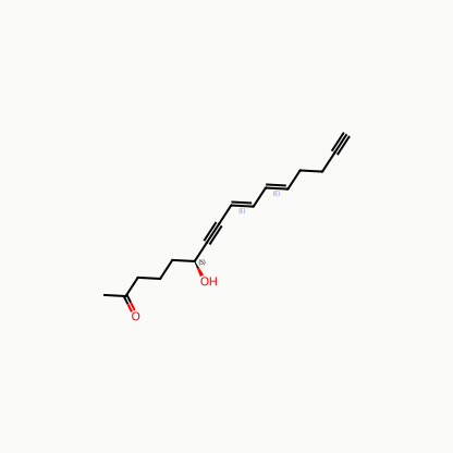 C#CCC/C=C/C=C/C#C[C@@H](O)CCCC(C)=O